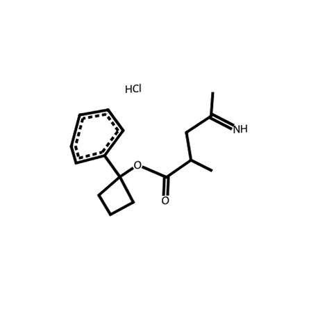 CC(=N)CC(C)C(=O)OC1(c2ccccc2)CCC1.Cl